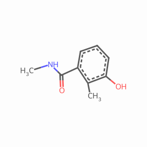 CNC(=O)c1cccc(O)c1C